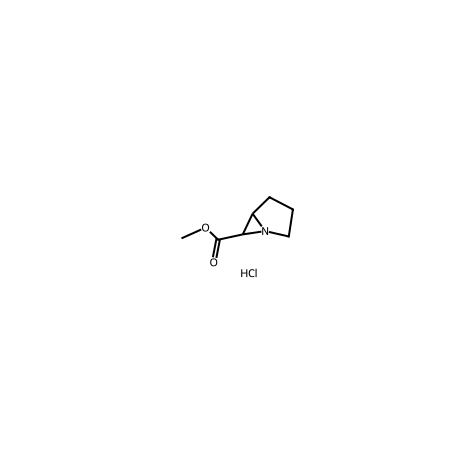 COC(=O)C1C2CCCN21.Cl